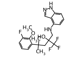 COc1c(F)cccc1C(C)(C)CC(O)(CNc1cccc2[nH]ncc12)C(F)(F)F